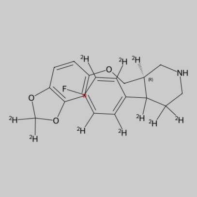 [2H]c1c([2H])c(C2([2H])C([2H])([2H])CNC[C@]2([2H])COc2ccc3c(c2)OC([2H])([2H])O3)c([2H])c([2H])c1F